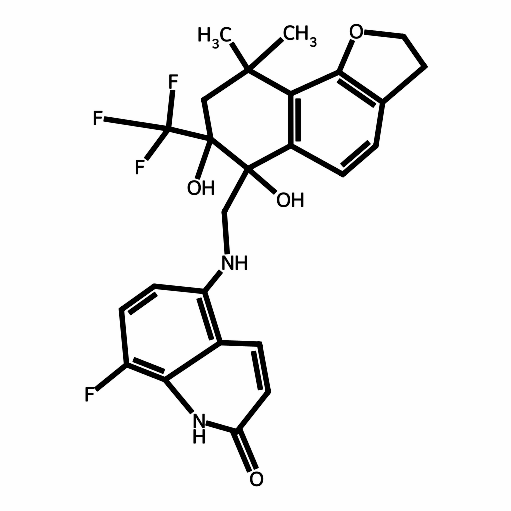 CC1(C)CC(O)(C(F)(F)F)C(O)(CNc2ccc(F)c3[nH]c(=O)ccc23)c2ccc3c(c21)OCC3